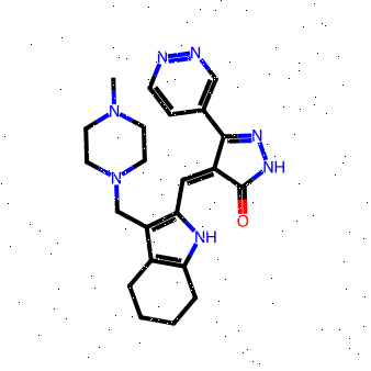 CN1CCN(Cc2c(C=C3C(=O)NN=C3c3ccnnc3)[nH]c3c2CCCC3)CC1